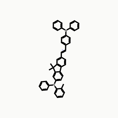 Cc1ccccc1N(c1ccccc1)c1ccc2c(c1)C(C)(C)c1cc(/C=C/c3ccc(N(c4ccccc4)c4ccccc4)cc3)ccc1-2